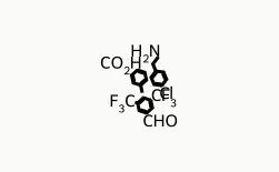 Cc1ccc(C(=O)O)cc1.NCCc1ccc(Cl)cc1.O=Cc1cc(C(F)(F)F)cc(C(F)(F)F)c1